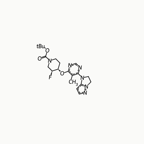 Cc1c(O[C@@H]2CCN(C(=O)OC(C)(C)C)C[C@@H]2F)ncnc1N1CCn2nccc21